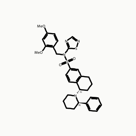 COc1ccc(CN(c2ncns2)S(=O)(=O)c2ccc3c(c2)CCC[C@@H]3N2CCCC[C@@H]2c2ccccc2)c(OC)c1